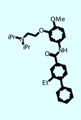 CCc1cc(C(=O)Nc2ccc(OC)c(OCCN(C(C)C)C(C)C)c2)ccc1-c1ccccc1